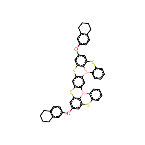 c1ccc2c(c1)Sc1cc(Oc3ccc4c(c3)CCCC4)cc3c1B2c1cc2c(cc1S3)Sc1cc(Oc3ccc4c(c3)CCCC4)cc3c1B2c1ccccc1S3